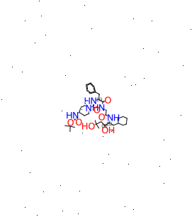 CC(C)(O)C[C@H](O)[C@H](CC1CCCCC1)NC(=O)CNC(=O)[C@H](Cc1ccccc1)NC(=O)N1CCC(NC(=O)OC(C)(C)C)CC1